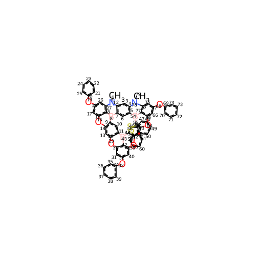 CN1c2cc3c(cc2B2c4cc5c(cc4Oc4cc(Oc6ccccc6)cc1c42)Oc1cc(Oc2ccccc2)cc2c1B5c1sc4ccccc4c1O2)B1c2sc4ccccc4c2Oc2cc(Oc4ccccc4)cc(c21)N3C